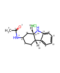 CC(=O)NC1CC[C@H]2c3ccccc3N[C@H]2C1.Cl